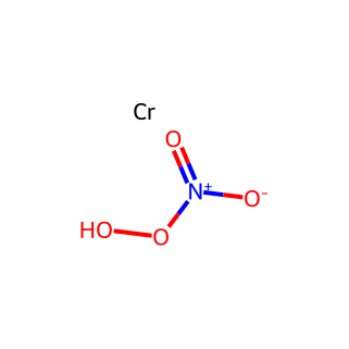 O=[N+]([O-])OO.[Cr]